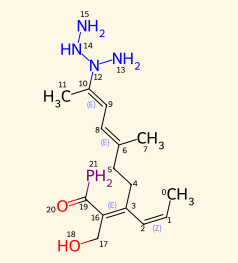 C/C=C\C(CC/C(C)=C/C=C(\C)N(N)NN)=C(/CO)C(=O)P